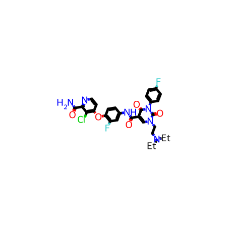 CCN(CC)CCn1cc(C(=O)Nc2ccc(Oc3ccnc(C(N)=O)c3Cl)c(F)c2)c(=O)n(-c2ccc(F)cc2)c1=O